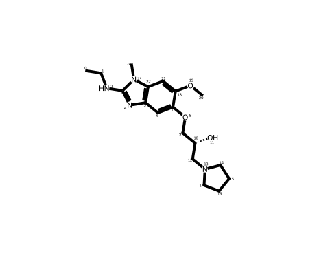 CCNc1nc2cc(OC[C@H](O)CN3CCCC3)c(OC)cc2n1C